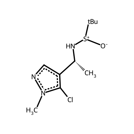 C[C@@H](N[S+]([O-])C(C)(C)C)c1cnn(C)c1Cl